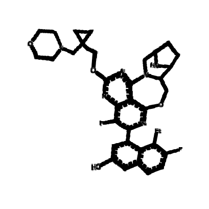 CCc1c(F)ccc2cc(O)cc(-c3nc4c5c(nc(OCC6(CN7CCOCC7)CC6)nc5c3F)N3CC5CCC(N5)C3CO4)c12